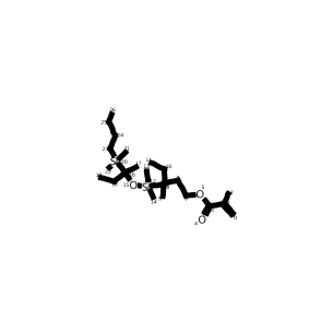 C=C(C)C(=O)OCCC(C)(CC)[Si](C)(C)OC(C)(CC)[Si](C)(C)CCCC